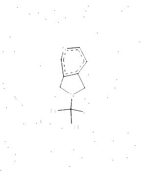 CCCC(C)(C)N1Cc2ccncc2C1